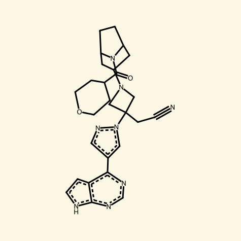 N#CCC1(n2cc(-c3ncnc4[nH]ccc34)cn2)CN(C2CC3CCC(C2)N3C(=O)C2CCOCC2)C1